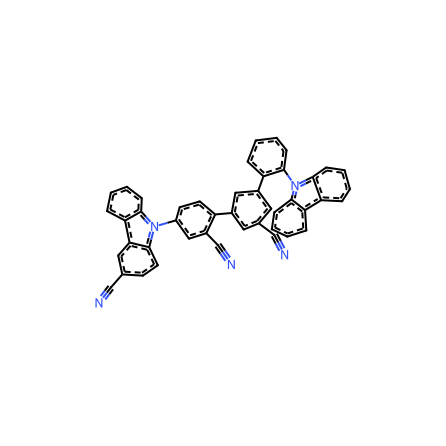 N#Cc1cc(-c2ccc(-n3c4ccccc4c4cc(C#N)ccc43)cc2C#N)cc(-c2ccccc2-n2c3ccccc3c3ccccc32)c1